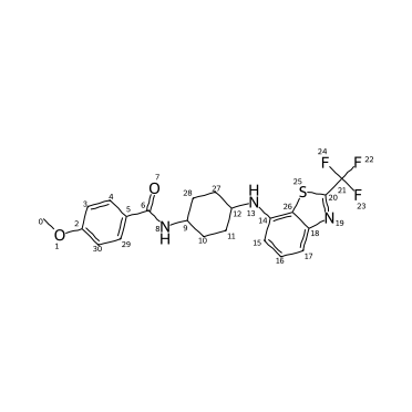 COc1ccc(C(=O)NC2CCC(Nc3cccc4nc(C(F)(F)F)sc34)CC2)cc1